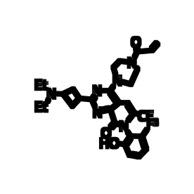 C=CC(=O)N1CCN(c2nc(C3CC(N(CC)CC)C3)nc3c(=O)n(-c4c(O)cccc4F)c(C(F)(F)F)cc23)CC1